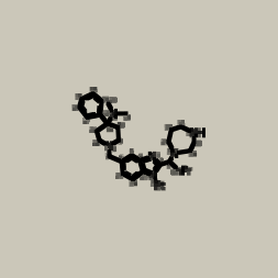 CCCC(c1nc2cc(CN3CCC(c4ccccc4)(N(C)C)CC3)ccc2n1CC)N1CCCNCC1